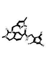 Cc1cc(CN2C(=O)N(C)Cc3ccc(C(=O)NCc4c(F)cc(F)cc4F)cc32)nn1C